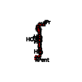 CCCCC/C=C\C/C=C\C/C=C\C/C=C\CCCC(=O)NCCOCCOCCOCCNC(=O)CC[C@H](NC(=O)O)C(=O)NCCCCCCOc1c(C)c(C)c2c(c1C)CC[C@@](C)(CCC[C@H](C)CCC[C@H](C)CCCC(C)C)O2